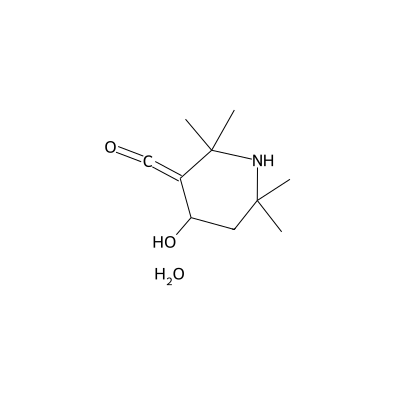 CC1(C)CC(O)C(=C=O)C(C)(C)N1.O